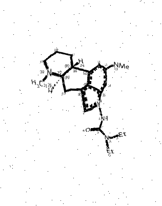 CCN(CC)C(=O)Nn1cc2c3c(cc(NC)cc31)[C@H]1CCCN(C)[C@@H]1C2